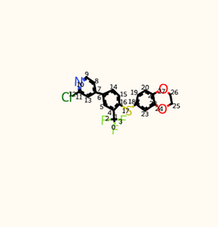 FC(F)(F)c1cc(-c2ccnc(Cl)c2)ccc1Sc1ccc2c(c1)OCCO2